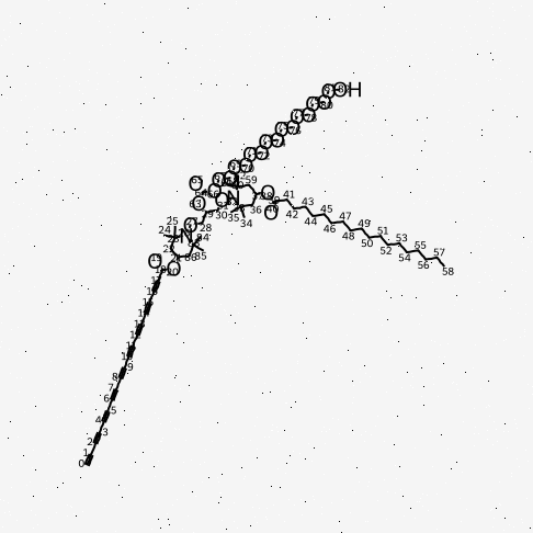 C#CC#CC#CC#CC#CC#CC#CC#CC#CC(=O)OC1CC(C)(C)N(OCC(CON2C(C)(C)CC(OC(=O)CCCCCCCCCCCCCCCCCC)CC2(C)C)OC(=O)OOOOOOOOOOOOOOOOO)C(C)(C)C1